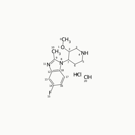 COC1CNCCC1n1c(C)nc2cc(F)ccc21.Cl.Cl